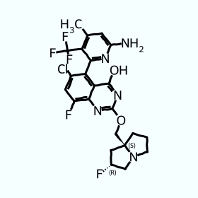 Cc1cc(N)nc(-c2c(Cl)cc(F)c3nc(OC[C@@]45CCCN4C[C@H](F)C5)nc(O)c23)c1C(F)(F)F